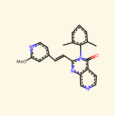 COc1cc(/C=C/c2nc3cnccc3c(=O)n2-c2c(C)cccc2C)ccn1